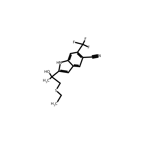 CCSCC(C)(O)c1cc2cc(C#N)c(C(F)(F)F)cc2[nH]1